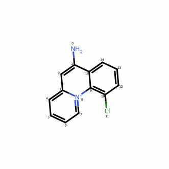 Nc1cc2cccc[n+]2c2c(Cl)cccc12